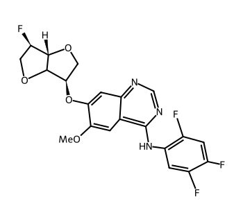 COc1cc2c(Nc3cc(F)c(F)cc3F)ncnc2cc1O[C@@H]1CO[C@@H]2C1OC[C@H]2F